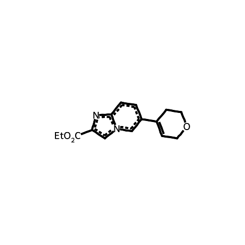 CCOC(=O)c1cn2cc(C3=CCOCC3)ccc2n1